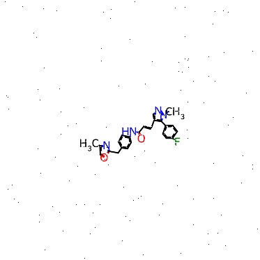 Cc1coc(Cc2ccc(NC(=O)C=Cc3cnn(C)c3-c3ccc(F)cc3)cc2)n1